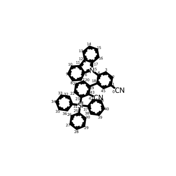 N#Cc1ccc(-n2c3ccccc3c3ccccc32)c(-c2cccc([Si](c3ccccc3)(c3ccccc3)c3ccccc3)c2C#N)c1